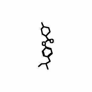 CCC(C)Cc1ccc(OC(=O)C2CCC(C)CC2)cc1